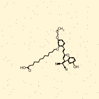 COCOc1ccc(C=CC2=CC(=C(C#N)C#N)c3cc(O)ccc3O2)c(OCCCCCCCCCCCC(=O)O)c1